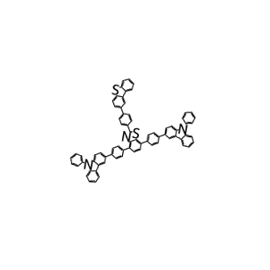 c1ccc(-n2c3ccccc3c3cc(-c4ccc(-c5ccc(-c6ccc(-c7ccc8c(c7)c7ccccc7n8-c7ccccc7)cc6)c6sc(-c7ccc(-c8ccc9sc%10ccccc%10c9c8)cc7)nc56)cc4)ccc32)cc1